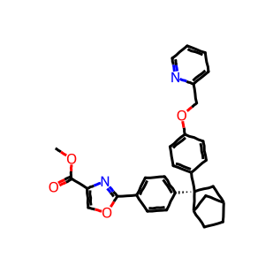 COC(=O)c1coc(-c2ccc([C@]3(c4ccc(OCc5ccccn5)cc4)CC4CCC3C4)cc2)n1